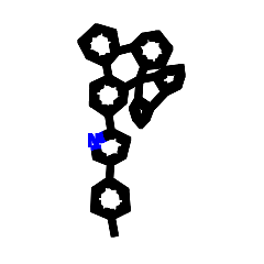 Cc1ccc(-c2ccc(-c3ccc4c(c3)C3(c5ccccc5-c5ccccc5-4)c4ccccc4-c4ccccc43)nc2)cc1